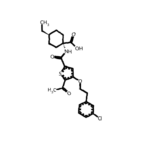 CC[C@H]1CC[C@@](NC(=O)c2cc(OCCc3cccc(Cl)c3)c(C(C)=O)s2)(C(=O)O)CC1